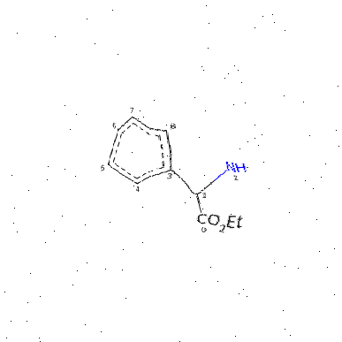 CCOC(=O)C([NH])c1ccccc1